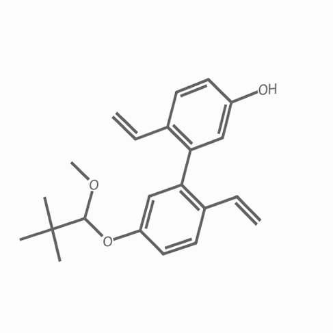 C=Cc1ccc(O)cc1-c1cc(OC(OC)C(C)(C)C)ccc1C=C